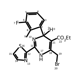 [2H]C1(c2cccc(F)c2C)N=C(c2nccs2)NC(CBr)=C1C(=O)OCC